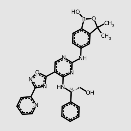 CC1(C)OB(O)c2ccc(Nc3ncc(-c4nc(-c5ccccn5)no4)c(N[C@H](CO)c4ccccc4)n3)cc21